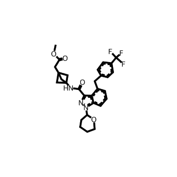 COC(=O)CC12CC(NC(=O)c3nn(C4CCCCO4)c4cccc(Cc5ccc(C(F)(F)F)cc5)c34)(C1)C2